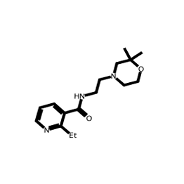 CCc1ncccc1C(=O)NCCN1CCOC(C)(C)C1